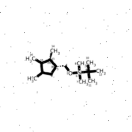 CC1C[C@@H](CO[Si](C)(C)C(C)(C)C)[C@H](C)C1C